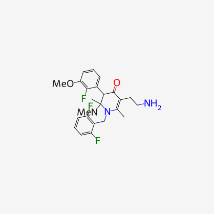 CNC1(C)C(c2cccc(OC)c2F)C(=O)C(CCN)=C(C)N1Cc1c(F)cccc1F